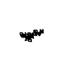 C=CCn1c(=O)c2cnc(Nc3ccc(N4CCC5(CN(C)C5)C4)c(OC)c3)nc2n1-c1ccc(=O)n(C(C)C)n1